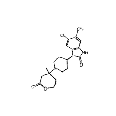 CC1(N2CCC(n3c(=O)[nH]c4cc(C(F)(F)F)c(Cl)cc43)CC2)CCOC(=O)C1